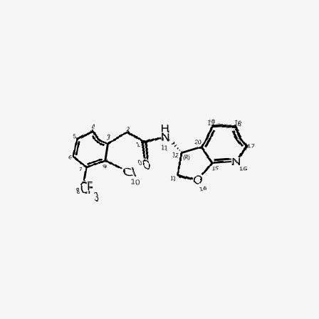 O=C(Cc1cccc(C(F)(F)F)c1Cl)N[C@H]1COc2ncccc21